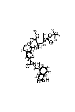 CCc1cc(C(=O)NCc2cccc3[nH]ncc23)sc1C(=O)NC(CNC(=O)OC(C)(C)C)C(=O)OC